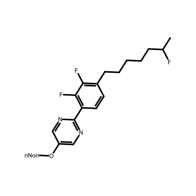 CCCCCCCCCOc1cnc(-c2ccc(CCCCCC(C)F)c(F)c2F)nc1